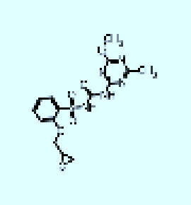 COc1nc(C)nc(NC(=O)NS(=O)(=O)c2ccccc2OCC2CO2)n1